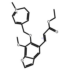 CCOC(=O)/C=C/c1cc2ccoc2c(OC)c1OCC1=CC=[PH](C)CC=C1